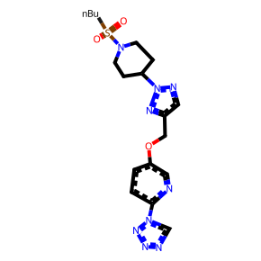 CCCCS(=O)(=O)N1CCC(n2ncc(COc3ccc(-n4cnnn4)nc3)n2)CC1